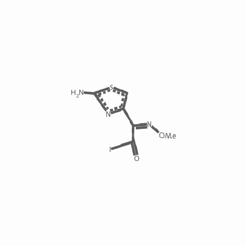 CON=C(C(=O)I)c1csc(N)n1